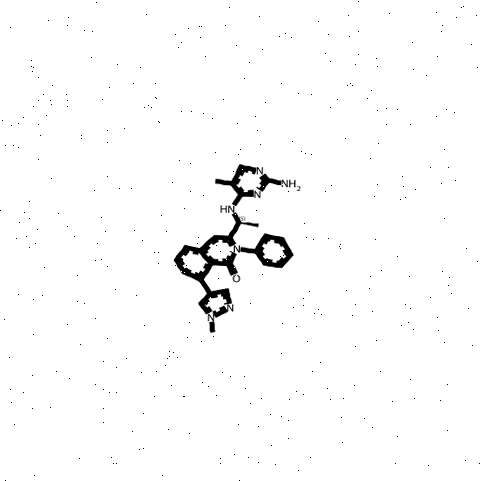 Cc1cnc(N)nc1N[C@@H](C)c1cc2cccc(-c3cnn(C)c3)c2c(=O)n1-c1ccccc1